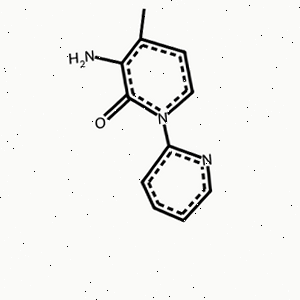 Cc1ccn(-c2ccccn2)c(=O)c1N